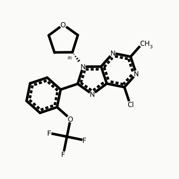 Cc1nc(Cl)c2nc(-c3ccccc3OC(F)(F)F)n([C@@H]3CCOC3)c2n1